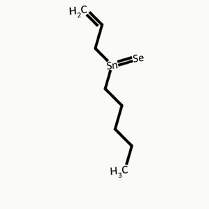 C=C[CH2][Sn](=[Se])[CH2]CCCC